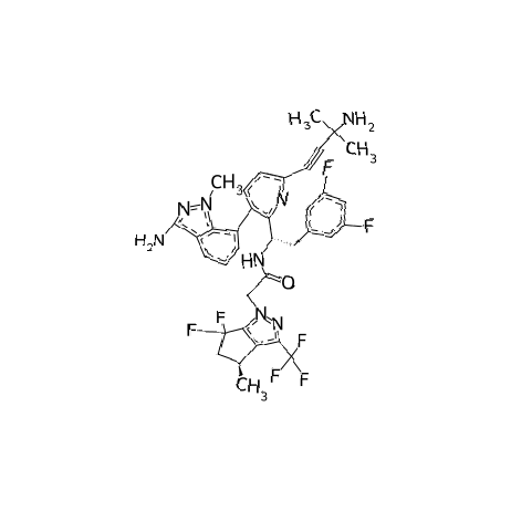 C[C@H]1CC(F)(F)c2c1c(C(F)(F)F)nn2CC(=O)N[C@@H](Cc1cc(F)cc(F)c1)c1nc(C#CC(C)(C)N)ccc1-c1cccc2c(N)nn(C)c12